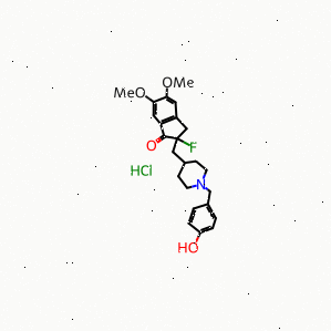 COc1cc2c(cc1OC)C(=O)C(F)(CC1CCN(Cc3ccc(O)cc3)CC1)C2.Cl